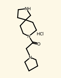 Cl.O=C(CN1CCCC1)N1CCC2(CCNC2)CC1